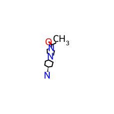 CCC(=O)N1CCN([C@H]2CC[C@H](C#N)CC2)CC1